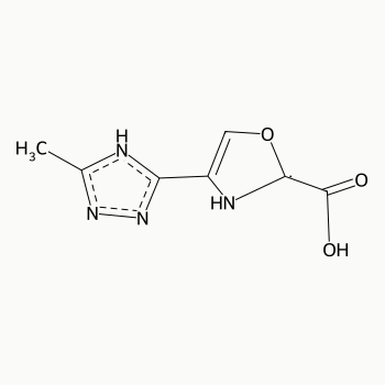 Cc1nnc(C2=CO[C](C(=O)O)N2)[nH]1